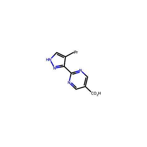 CC(C)c1c[nH]nc1-c1ncc(C(=O)O)cn1